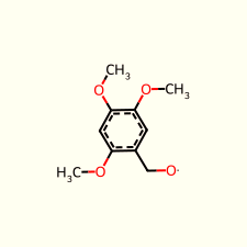 COc1cc(OC)c(OC)cc1C[O]